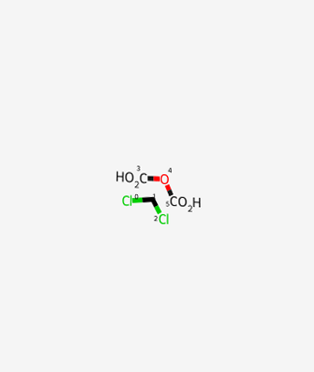 ClCCl.O=C(O)OC(=O)O